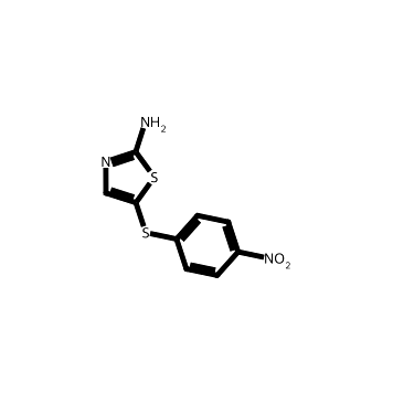 Nc1ncc(Sc2ccc([N+](=O)[O-])cc2)s1